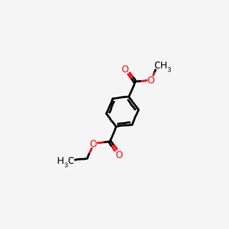 CCOC(=O)c1ccc(C(=O)OC)cc1